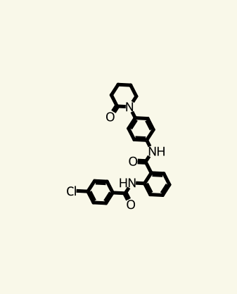 O=C(Nc1ccccc1C(=O)Nc1ccc(N2CCCCC2=O)cc1)c1ccc(Cl)cc1